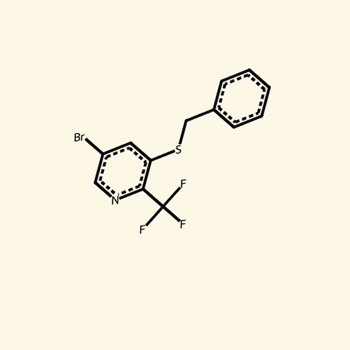 FC(F)(F)c1ncc(Br)cc1SCc1ccccc1